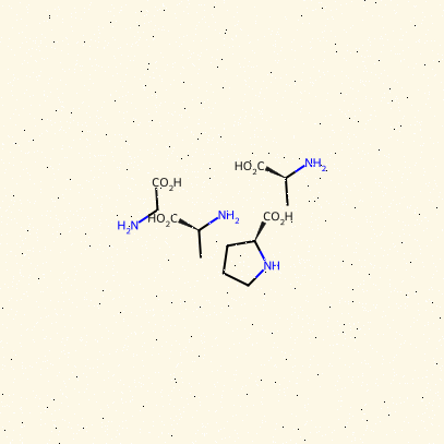 C[C@H](N)C(=O)O.C[C@H](N)C(=O)O.NCC(=O)O.O=C(O)[C@@H]1CCCN1